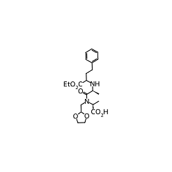 CCOC(=O)C(CCc1ccccc1)N[C@@H](C)C(=O)N(CC1OCCO1)[C@@H](C)C(=O)O